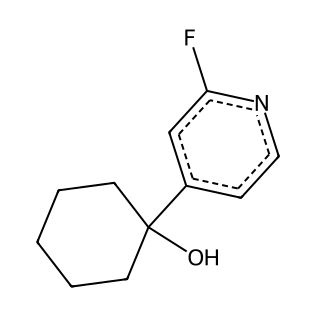 OC1(c2ccnc(F)c2)CCCCC1